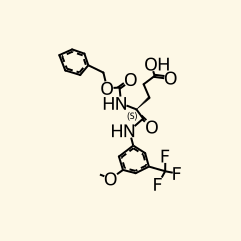 COc1cc(NC(=O)[C@H](CCC(=O)O)NC(=O)OCc2ccccc2)cc(C(F)(F)F)c1